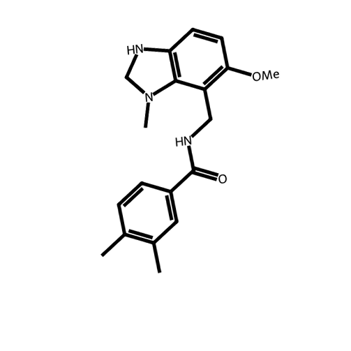 COc1ccc2c(c1CNC(=O)c1ccc(C)c(C)c1)N(C)CN2